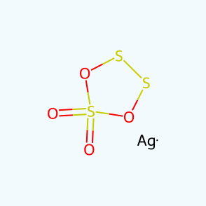 O=S1(=O)OSSO1.[Ag]